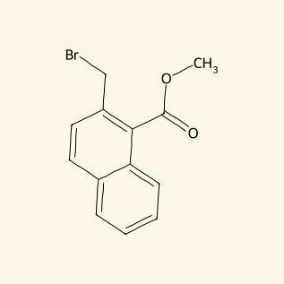 COC(=O)c1c(CBr)ccc2ccccc12